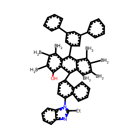 Bc1c(B)c(B)c2c(-c3ccc(-n4c(CC)nc5ccccc54)c4ccccc34)c3c(O)c(B)c(B)c(B)c3c(-c3cc(-c4ccccc4)cc(-c4ccccc4)c3)c2c1B